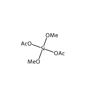 CO[Si](OC)(OC(C)=O)OC(C)=O